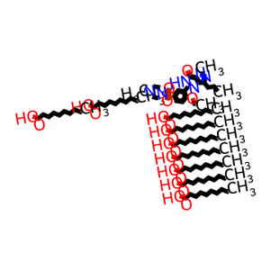 CCCCCCCCCC(=O)O.CCCCCCCCCC(=O)O.CCCCCCCCCC(=O)O.CCCCCCCCCC(=O)O.CCCCCCCCCC(=O)O.CCCCCCCCCC(=O)O.CCCCCCCCCC(=O)O.CCCCCCCCCC(=O)O.CCCCCCCCCC(=O)O.CCCc1nn(C)c2c(=O)[nH]c(-c3cc(S(=O)(=O)N4CCN(C)CC4)ccc3OCC)nc12